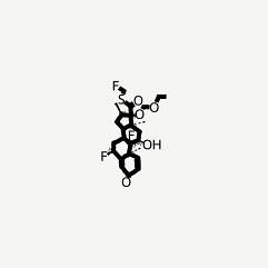 CCOCO[C@]1(C(=O)SCF)[C@H](C)CC2C3C[C@H](F)C4=CC(=O)C=C[C@]4(C)[C@@]3(F)[C@@H](O)C[C@@]21C